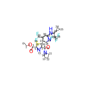 CCOC(=O)c1nc(C(=O)N2CCC[C@@H]2C)c(-c2cnc(N[C@@H](C3CC3)C(F)(F)F)cc2C(F)F)s1